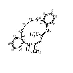 C/C1=C/C(C)=N/c2ccccc2SCCSc2ccccc2N1